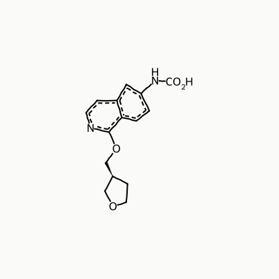 O=C(O)Nc1ccc2c(OC[C@H]3CCOC3)nccc2c1